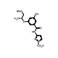 COC[C@H](C)Oc1cc(O)cc(C(=O)Nc2ccn(C(=O)O)n2)c1